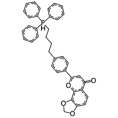 O=c1cc(-c2ccc(CCCC[PH](c3ccccc3)(c3ccccc3)c3ccccc3)cc2)oc2c3c(ccc12)OCO3